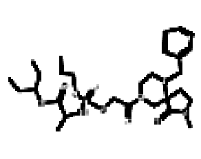 CCCOP(=O)(NC(C)C(=O)OC(CC)CC)OCC(=O)N1CCN(Cc2ccccc2)C2(CCN(C)C2=O)C1